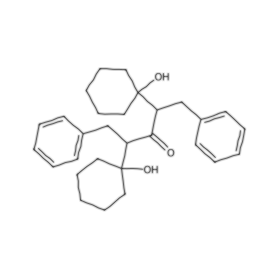 O=C(C(Cc1ccccc1)C1(O)CCCCC1)C(Cc1ccccc1)C1(O)CCCCC1